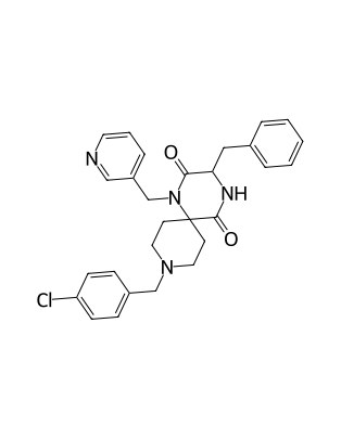 O=C1C(Cc2ccccc2)NC(=O)C2(CCN(Cc3ccc(Cl)cc3)CC2)N1Cc1cccnc1